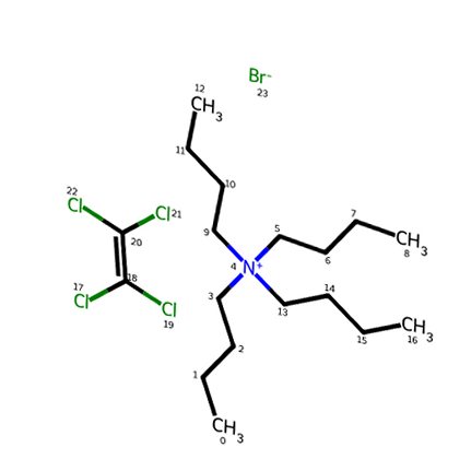 CCCC[N+](CCCC)(CCCC)CCCC.ClC(Cl)=C(Cl)Cl.[Br-]